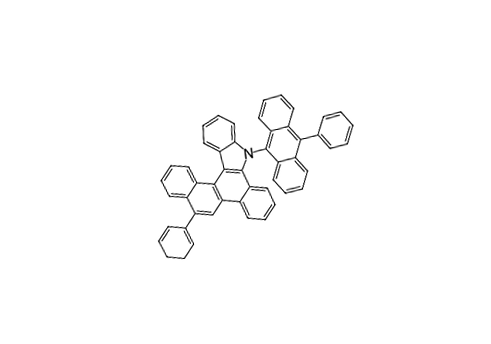 C1=CC(c2cc3c4ccccc4c4c(c5ccccc5n4-c4c5ccccc5c(-c5ccccc5)c5ccccc45)c3c3ccccc23)=CCC1